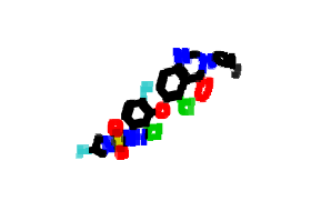 Cn1cnc2ccc(Oc3c(F)ccc(NS(=O)(=O)N4CC(F)C4)c3Cl)c(Cl)c2c1=O